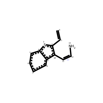 C=Cc1sc2ccccc2c1/C=C\N